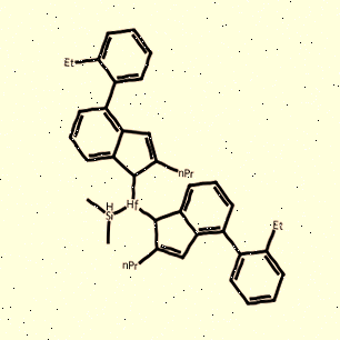 CCCC1=Cc2c(-c3ccccc3CC)cccc2[CH]1[Hf]([CH]1C(CCC)=Cc2c(-c3ccccc3CC)cccc21)[SiH](C)C